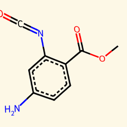 COC(=O)c1ccc(N)cc1N=C=O